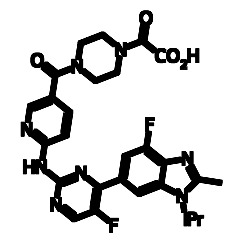 Cc1nc2c(F)cc(-c3nc(Nc4ccc(C(=O)N5CCN(C(=O)C(=O)O)CC5)cn4)ncc3F)cc2n1C(C)C